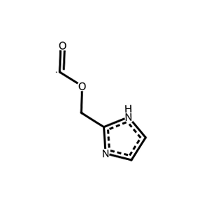 O=[C]OCc1ncc[nH]1